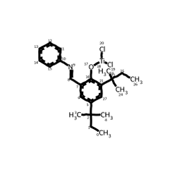 CCC(C)(C)c1cc(C=Nc2ccccc2)c([O][Ti]([Cl])[Cl])c(C(C)(C)CC)c1